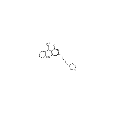 O=c1oc(CCCCC2CCOC2)cc(O)c1C(c1ccccc1)C1CC1